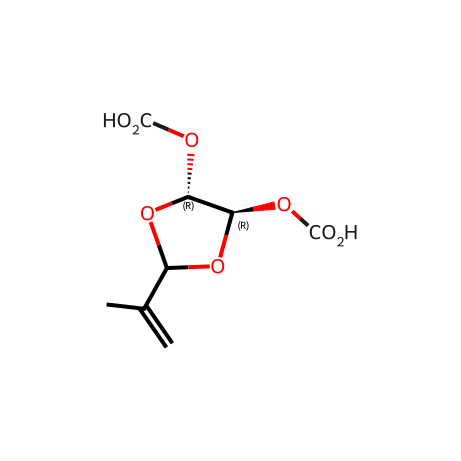 C=C(C)C1O[C@H](OC(=O)O)[C@@H](OC(=O)O)O1